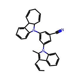 C/C=C\c1c(C)n(-c2cc(C#N)cc(N3c4ccccc4C4C=CCC=CC43)c2)c2ccccc12